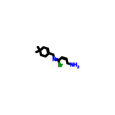 CC1(C)CC=C(C/N=C(Br)\C=C/CN)CC1